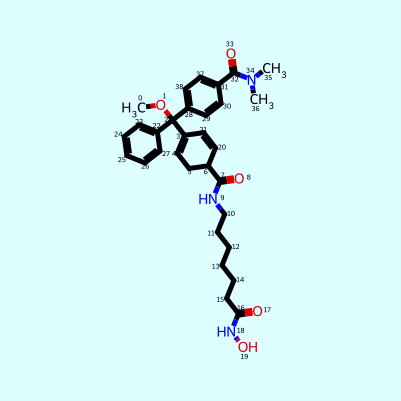 COC(C1=CCC(C(=O)NCCCCCCC(=O)NO)C=C1)(c1ccccc1)c1ccc(C(=O)N(C)C)cc1